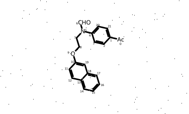 CC(=O)c1ccc(N(C=O)CCOc2ccc3ccccc3c2)cc1